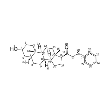 C[C@]12CC[C@@H](O)C[C@H]1CC[C@@H]1[C@@H]2CC[C@]2(C)[C@@H](C(=O)CSc3ccccn3)CC[C@@H]12